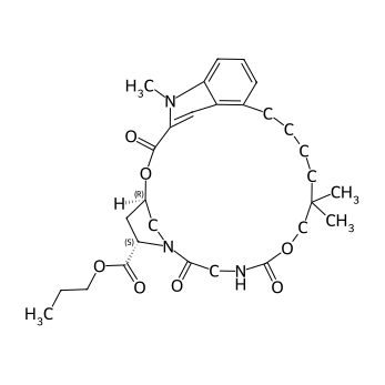 CCCOC(=O)[C@@H]1C[C@@H]2CN1C(=O)CNC(=O)OCC(C)(C)CCCCc1cccc3c1cc(n3C)C(=O)O2